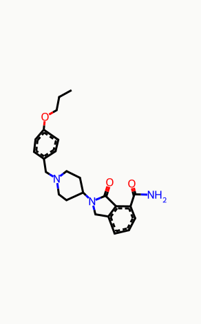 CCCOc1ccc(CN2CCC(N3Cc4cccc(C(N)=O)c4C3=O)CC2)cc1